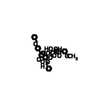 COc1cccc(NC(=O)C2OC(Oc3cc4oc(-c5ccc(OCc6ccccc6)cc5)cc(=O)c4c(O)c3OCc3ccccc3)C(O)C(O)C2O)c1